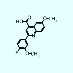 COc1ccc2nc(-c3ccc(F)c(OC)c3)cc(C(=O)O)c2c1